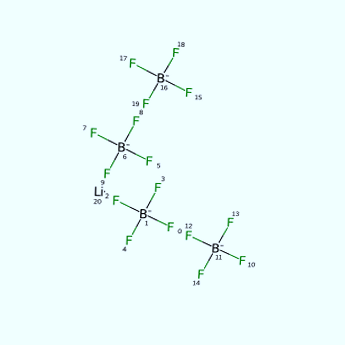 F[B-](F)(F)F.F[B-](F)(F)F.F[B-](F)(F)F.F[B-](F)(F)F.[Li]